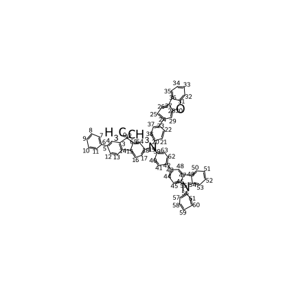 CC1(C)c2cc(-c3ccccc3)ccc2-c2ccc(N(c3ccc(-c4ccc5c(c4)oc4ccccc45)cc3)c3ccc(-c4ccc5c(c4)c4ccccc4n5-c4ccccc4)cc3)cc21